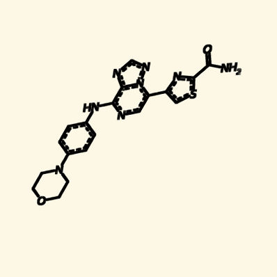 NC(=O)c1nc(-c2cnc(Nc3ccc(N4CCOCC4)cc3)c3ncnn23)cs1